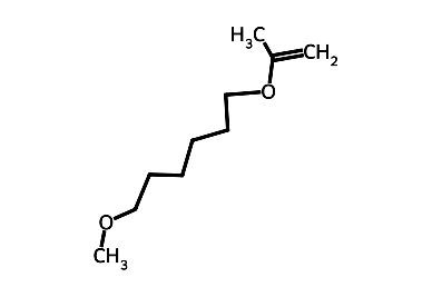 C=C(C)OCCCCCCOC